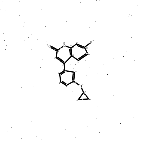 O=c1cc(-c2cccc(OC3CC3)c2)c2ccc(F)cc2o1